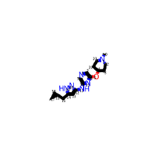 CN1CCC(Oc2cncc(Nc3cc(CC4CC4)[nH]n3)n2)CC1